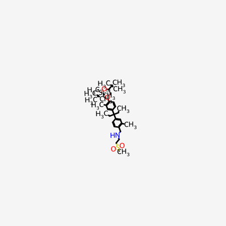 CCC(CC)(c1ccc(CNCCS(C)(=O)=O)c(C)c1)c1ccc(OC[C@@H](O[Si](C)(C)C(C)(C)C)C(C)(C)C)c(C)c1